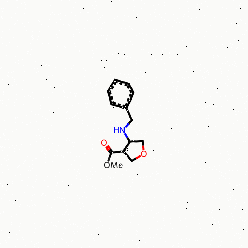 COC(=O)C1COCC1NCc1ccccc1